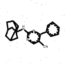 N#Cc1cnc(NC23CC4CC(CC(C4)C2)C3)nc1-c1ccccc1